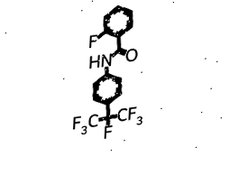 O=C(Nc1ccc(C(F)(C(F)(F)F)C(F)(F)F)cc1)c1ccccc1F